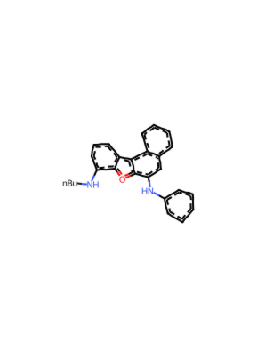 CCCCNc1cccc2c1oc1c(Nc3ccccc3)cc3ccccc3c12